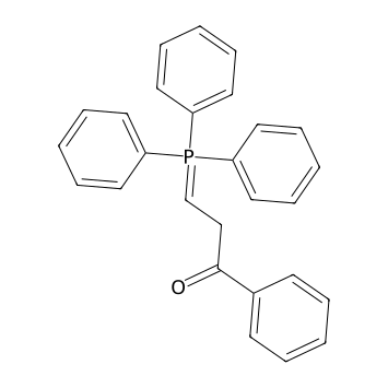 O=C(CC=P(c1ccccc1)(c1ccccc1)c1ccccc1)c1ccccc1